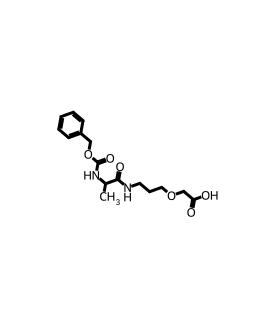 CC(NC(=O)OCc1ccccc1)C(=O)NCCCOCC(=O)O